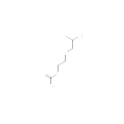 CC(=O)OCCOCC(Cl)Cl